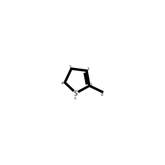 CC1=CCCS1